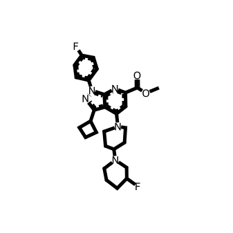 COC(=O)c1cc(N2CCC(N3CCCC(F)C3)CC2)c2c(C3CCC3)nn(-c3ccc(F)cc3)c2n1